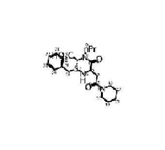 CCCN(CC(=O)O)C(=O)C(CC(=O)N1CCCCC1)NSCc1ccccc1